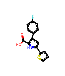 O=C(O)c1[nH]c(-c2cccs2)cc1-c1ccc(F)cc1